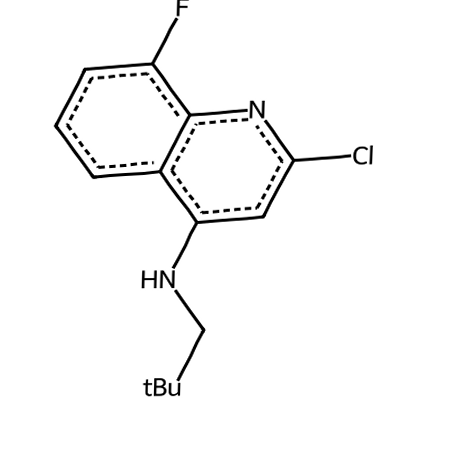 CC(C)(C)CNc1cc(Cl)nc2c(F)cccc12